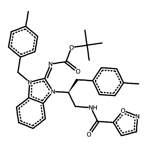 Cc1ccc(C[C@@H](CNC(=O)c2ccno2)n2c(=NC(=O)OC(C)(C)C)n(Cc3ccc(C)cc3)c3ccccc32)cc1